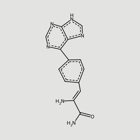 NC(=O)/C(N)=C/c1ccc(-c2ncnc3[nH]cnc23)cc1